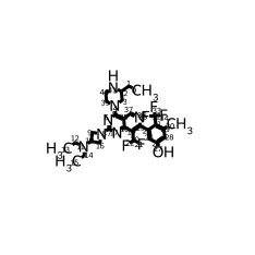 CCC1CN(c2nc(N3CC(N(CC)CC)C3)nc3c(C(F)F)c(-c4cc(O)cc(C)c4C(F)(F)F)ncc23)CCN1